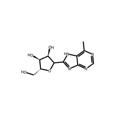 Cc1ncnc2nc(C3O[C@H](CO)[C@@H](O)[C@H]3O)[nH]c12